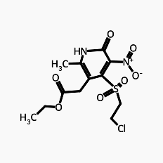 CCOC(=O)Cc1c(C)[nH]c(=O)c([N+](=O)[O-])c1S(=O)(=O)CCCl